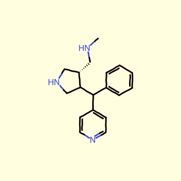 CNC[C@H]1CNCC1C(c1ccccc1)c1ccncc1